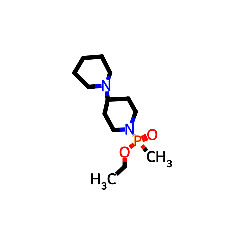 CCOP(C)(=O)N1CCC(N2CCCCC2)CC1